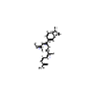 C=C(/C=C\C=C(\C)CC/C(=C\C(C=O)=N/C)C1=CN2NNC2C=C1)CC